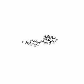 COc1ccc2cc(C#Cc3ccc(-n4c(C)nc5ccccc5c4=O)c(C)c3)ccc2c1